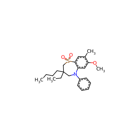 CCCCC1(CC)CN(c2ccccc2)c2cc(OC)c(C)cc2S(=O)(=O)C1